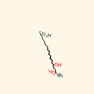 CCCC(O)CCC(O)CCCCCCCCCCCCCC(=O)O